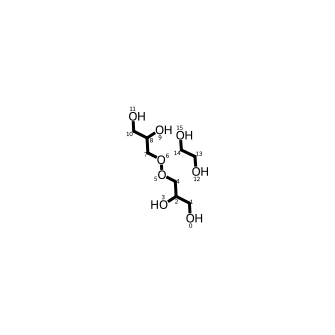 OCC(O)COOCC(O)CO.OCCO